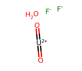 O.[F-].[F-].[O]=[U+2]=[O]